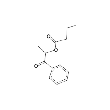 CCCC(=O)OC(C)C(=O)c1ccccc1